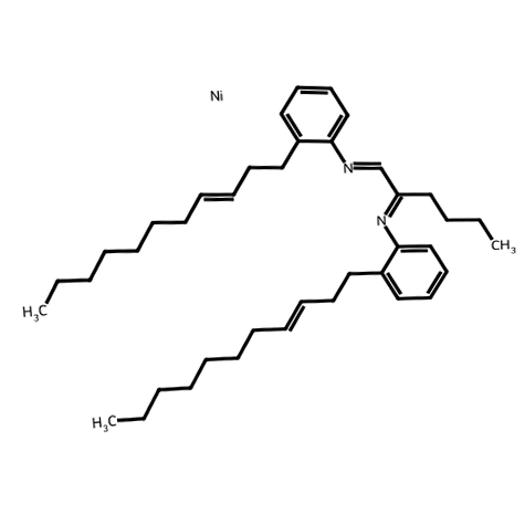 CCCCCCCC=CCCc1ccccc1N=CC(CCCC)=Nc1ccccc1CCC=CCCCCCCC.[Ni]